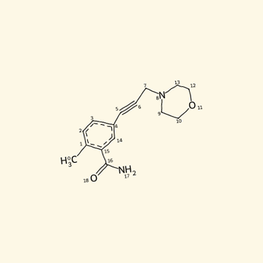 Cc1ccc(C#CCN2CCOCC2)cc1C(N)=O